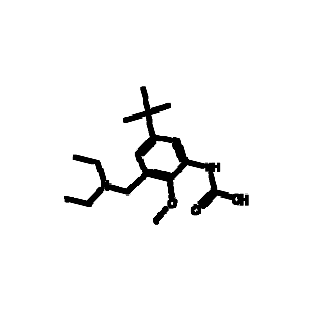 CCN(CC)Cc1cc(C(C)(C)C)cc(NC(=O)O)c1OC